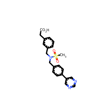 CS(=O)(=O)N(Cc1ccc(-c2cncnc2)cc1)Cc1cccc(CC(=O)O)c1